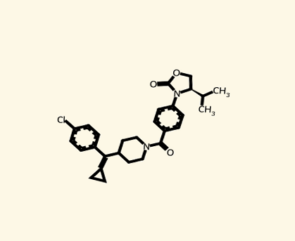 CC(C)[C@@H]1COC(=O)N1c1ccc(C(=O)N2CCC(C(=C3CC3)c3ccc(Cl)cc3)CC2)cc1